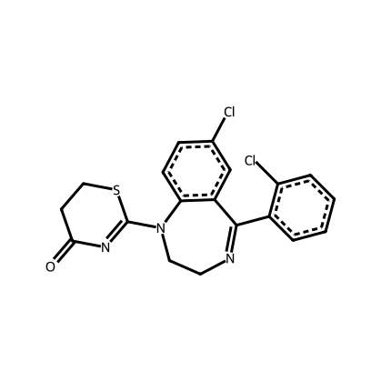 O=C1CCSC(N2CCN=C(c3ccccc3Cl)c3cc(Cl)ccc32)=N1